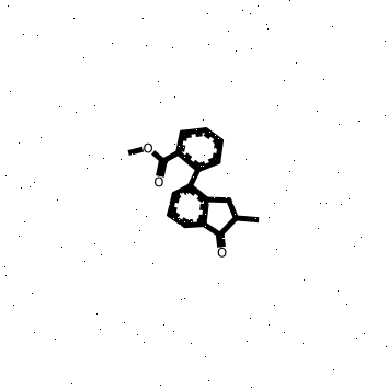 COC(=O)c1ccccc1-c1cccc2c1CC(C)C2=O